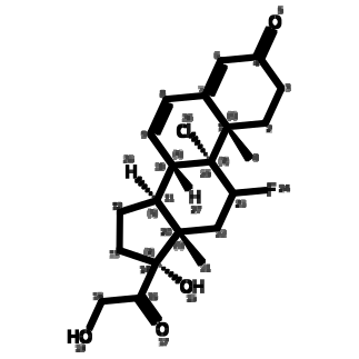 C[C@]12CCC(=O)C=C1C=C[C@H]1[C@@H]3CC[C@](O)(C(=O)CO)[C@@]3(C)CC(F)[C@@]12Cl